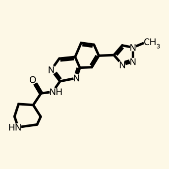 Cn1cc(-c2ccc3cnc(NC(=O)C4CCNCC4)nc3c2)nn1